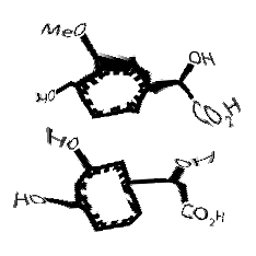 COc1cc(C(O)C(=O)O)ccc1O.O=C(O)C(O)c1ccc(O)c(O)c1